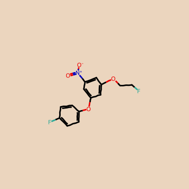 O=[N+]([O-])c1cc(OCCF)cc(Oc2ccc(F)cc2)c1